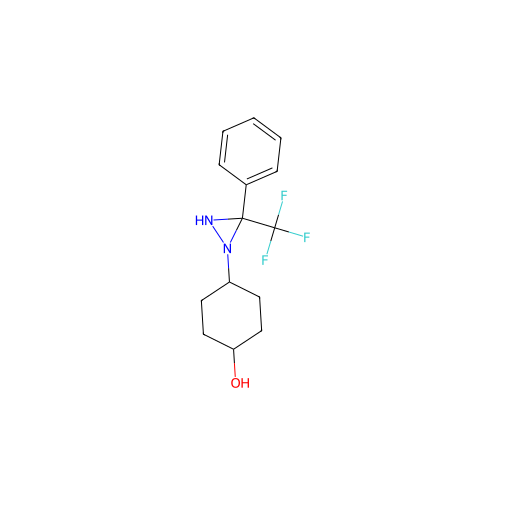 OC1CCC(N2NC2(c2ccccc2)C(F)(F)F)CC1